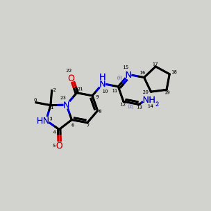 CC1(C)NC(=O)c2ccc(NC(/C=C\N)=N/C3CCCC3)c(=O)n21